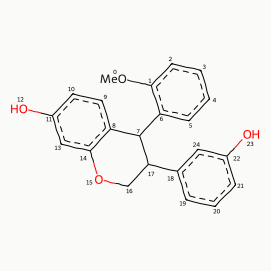 COc1ccccc1C1c2ccc(O)cc2OCC1c1cccc(O)c1